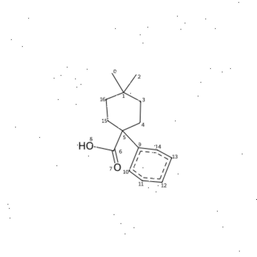 CC1(C)CCC(C(=O)O)(c2ccccc2)CC1